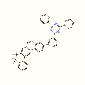 CC1(C)c2ccccc2-c2cc3c(ccc4cc(-c5cccc(-c6nc(-c7ccccc7)nc(-c7ccccc7)n6)c5)ccc43)cc2C1(C)C